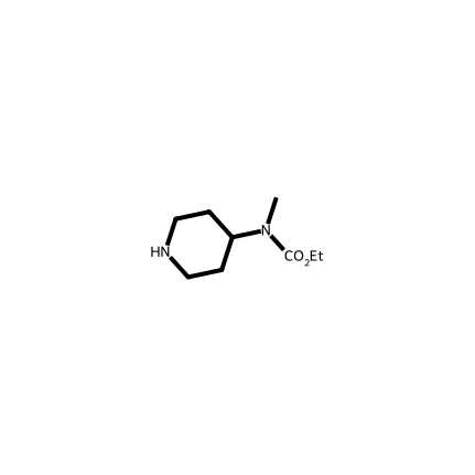 CCOC(=O)N(C)C1CCNCC1